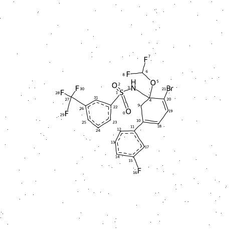 O=S(=O)(NC1(OC(F)F)CC(c2cccc(F)c2)=CC=C1Br)c1cccc(C(F)(F)F)c1